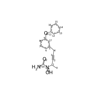 CC(C#CCc1cccc(Oc2ccccc2)c1)N(O)C(N)=O